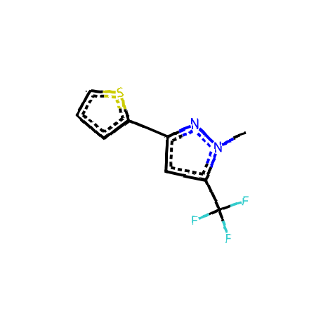 Cn1nc(-c2cc[c]s2)cc1C(F)(F)F